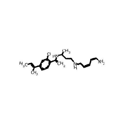 C=C(NC(C)CCNC/C=C\C=C/N)c1ccc(/C(C)=C/C)cc1Cl